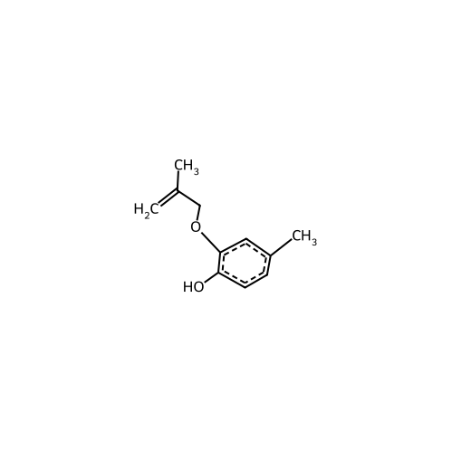 C=C(C)COc1cc(C)ccc1O